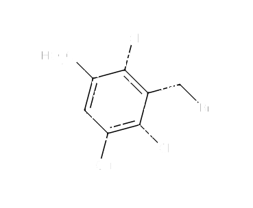 Cc1cc(C(=O)O)c(Cl)c(CBr)c1Cl